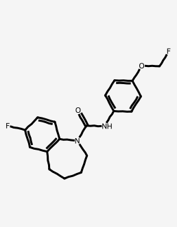 O=C(Nc1ccc(OCF)cc1)N1CCCCc2cc(F)ccc21